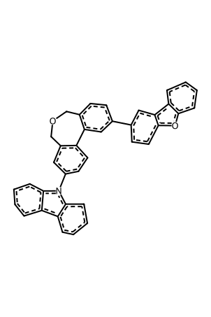 c1ccc2c(c1)oc1ccc(-c3ccc4c(c3)-c3ccc(-n5c6ccccc6c6ccccc65)cc3COC4)cc12